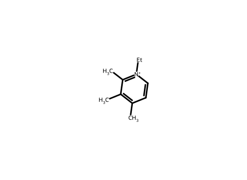 CC[n+]1ccc(C)c(C)c1C